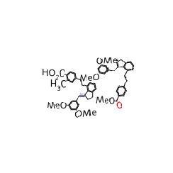 COC(=O)c1ccc(CCc2cccc3c2C(Cc2cc(OC)cc(OC)c2)=CC3)cc1.COc1cc(/C=C2\CCc3cccc(CCc4ccc(C(=O)O)c(C)c4)c32)cc(OC)c1